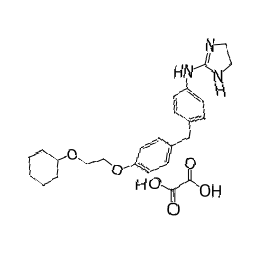 O=C(O)C(=O)O.c1cc(NC2=NCCN2)ccc1Cc1ccc(OCCOC2CCCCC2)cc1